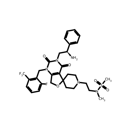 CN(CCN1CCC2(CC1)OCc1c2c(=O)n(C[C@H](N)c2ccccc2)c(=O)n1Cc1c(F)cccc1C(F)(F)F)S(C)(=O)=O